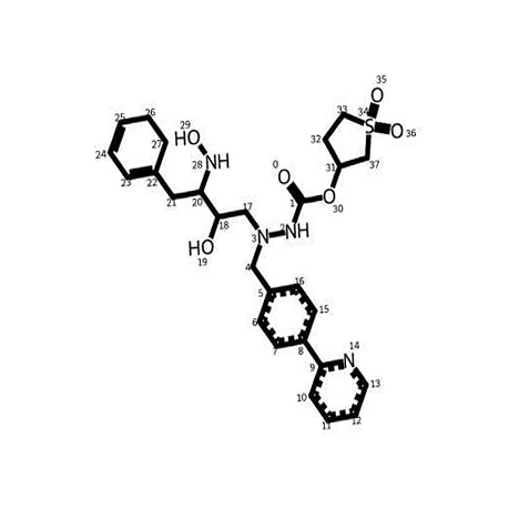 O=C(NN(Cc1ccc(-c2ccccn2)cc1)CC(O)C(CC1=CC=CCC1)NO)OC1CCS(=O)(=O)C1